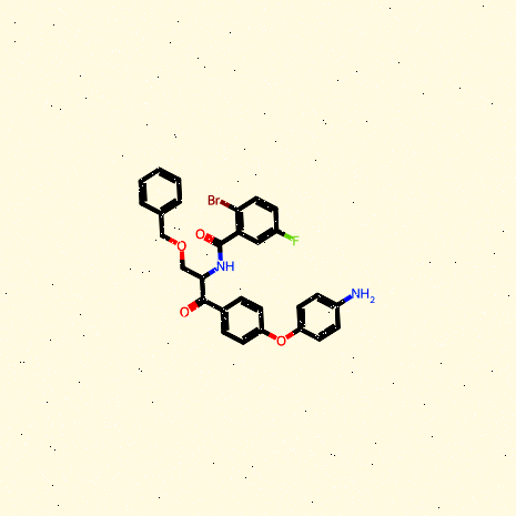 Nc1ccc(Oc2ccc(C(=O)C(COCc3ccccc3)NC(=O)c3cc(F)ccc3Br)cc2)cc1